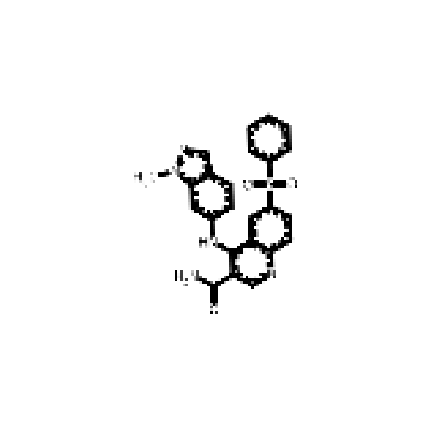 Cn1ncc2ccc(Nc3c(C(N)=O)cnc4ccc(S(=O)(=O)c5ccccc5)cc34)cc21